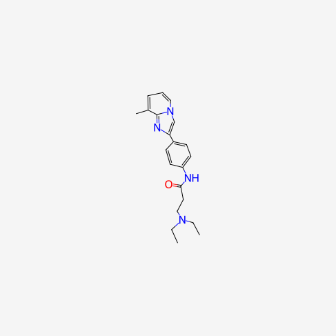 CCN(CC)CCC(=O)Nc1ccc(-c2cn3cccc(C)c3n2)cc1